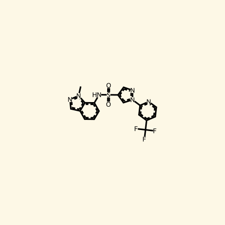 Cn1ncc2cccc(NS(=O)(=O)c3cnn(-c4cc(C(F)(F)F)ccn4)c3)c21